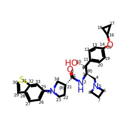 O=C(N[C@H](CN1CCC1)[C@H](O)c1ccc(OC2CC2)cc1)[C@@H]1CCN(c2ccc3ccsc3c2)C1